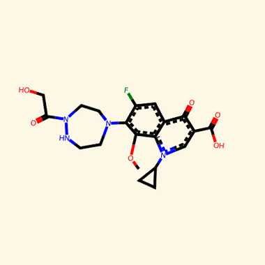 COc1c(N2CCNN(C(=O)CO)CC2)c(F)cc2c(=O)c(C(=O)O)cn(C3CC3)c12